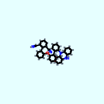 N#Cc1cccc(C#N)c1-c1ccccc1Oc1ccccc1-c1ccccc1N1c2ccccc2Nc2ccccc21